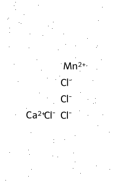 [Ca+2].[Cl-].[Cl-].[Cl-].[Cl-].[Mn+2]